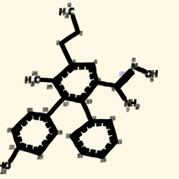 CCCc1cc(/C(N)=N/O)c(-c2ccccc2)c(-c2ccc(O)cc2)c1C